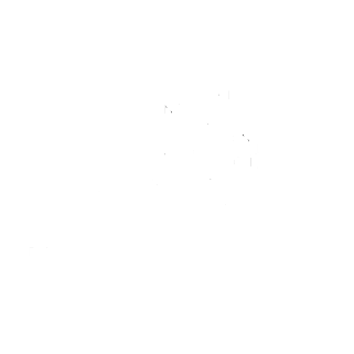 CC(C#N)(C#N)C(=O)C(C)(CSc1ccc(C(F)(F)F)cc1)Sc1ccccc1Cl